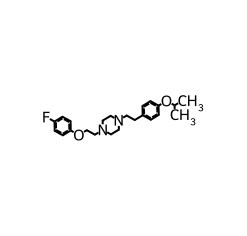 CC(C)Oc1ccc(CCN2CCN(CCOc3ccc(F)cc3)CC2)cc1